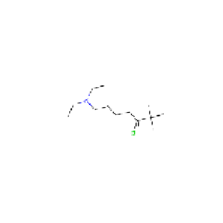 CCN(CC)CCCC[SiH](Cl)C(C)(C)C